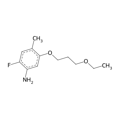 CCOCCCOc1cc(N)c(F)cc1C